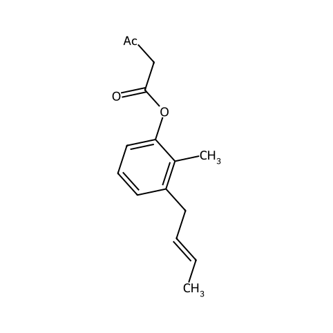 C/C=C/Cc1cccc(OC(=O)CC(C)=O)c1C